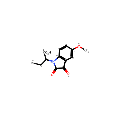 CC(C)CC(C(=O)O)N1C(=O)C(=O)c2cc(OC(F)(F)F)ccc21